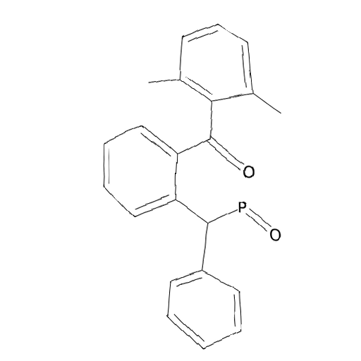 Cc1cccc(C)c1C(=O)c1ccccc1C(P=O)c1ccccc1